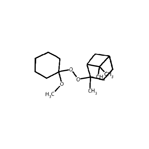 COC1(OOC2(C)CCC3CC2C3(C)C)CCCCC1